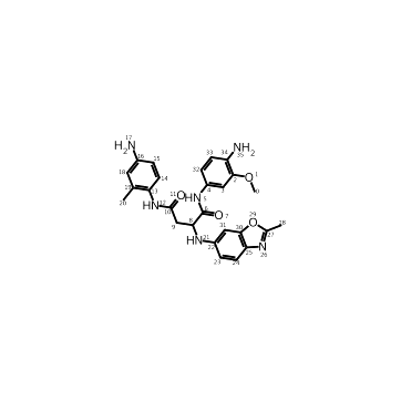 COc1cc(NC(=O)C(CC(=O)Nc2ccc(N)cc2C)Nc2ccc3nc(C)oc3c2)ccc1N